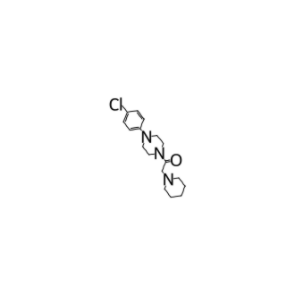 O=C(CN1CCCCC1)N1CCN(c2ccc(Cl)cc2)CC1